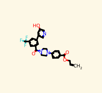 C=CCOC(=O)c1ccc(N2CCN(C(=O)c3cc(-c4cncc(O)c4)cc(C(F)(F)F)c3)CC2)cc1